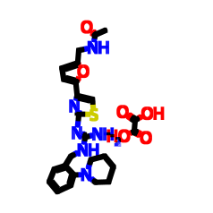 CC(=O)NCc1ccc(-c2csc(/N=C(\N)NCc3ccccc3N3CCCCC3)n2)o1.O=C(O)C(=O)O